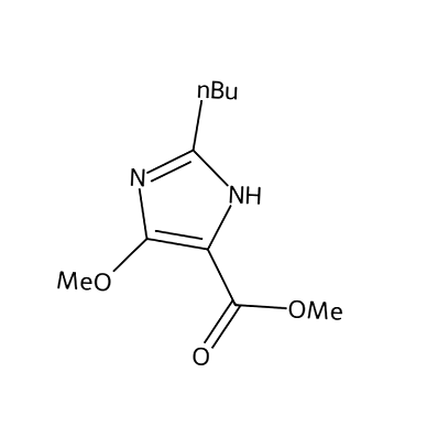 CCCCc1nc(OC)c(C(=O)OC)[nH]1